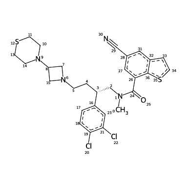 CN(C[C@@H](CCN1CC(N2CCSCC2)C1)c1ccc(Cl)c(Cl)c1)C(=O)c1cc(C#N)cc2ccsc12